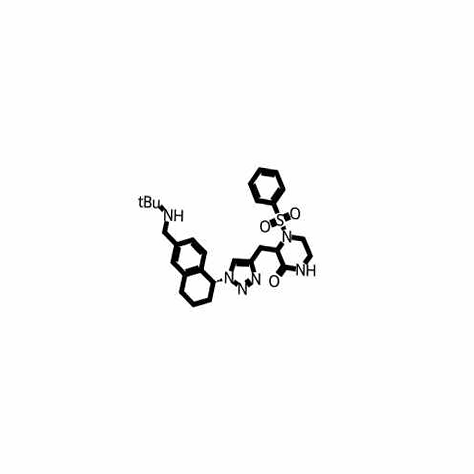 CC(C)(C)NCc1ccc2c(c1)CCC[C@H]2n1cc(CC2C(=O)NCCN2S(=O)(=O)c2ccccc2)nn1